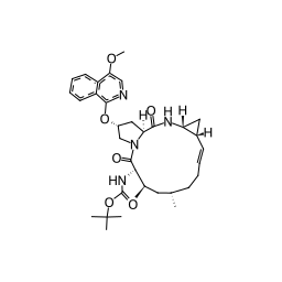 COc1cnc(O[C@@H]2C[C@H]3C(=O)N[C@@H]4C[C@@H]4/C=C\CC[C@H](C)C[C@@H](C)[C@H](NC(=O)OC(C)(C)C)C(=O)N3C2)c2ccccc12